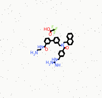 N=C(N)NCc1ccc(C(=O)N(Cc2cccc(-c3cccc(C(=O)NCCN)c3)c2)Cc2cccc3ccccc23)cc1.O=C(O)C(F)(F)F